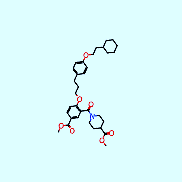 COC(=O)c1ccc(OCCCc2ccc(OCCC3CCCCC3)cc2)c(C(=O)N2CCC(C(=O)OC)CC2)c1